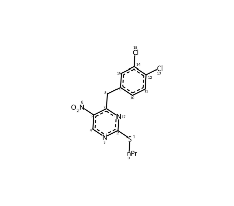 CCCSc1ncc([N+](=O)[O-])c(Cc2ccc(Cl)c(Cl)c2)n1